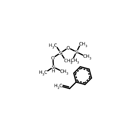 C=Cc1ccccc1.C[SiH](C)O[Si](C)(C)O[Si](C)(C)C